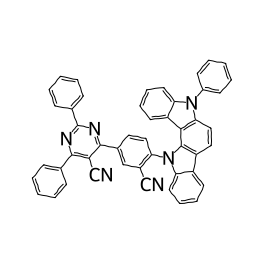 N#Cc1cc(-c2nc(-c3ccccc3)nc(-c3ccccc3)c2C#N)ccc1-n1c2ccccc2c2ccc3c(c4ccccc4n3-c3ccccc3)c21